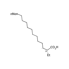 CCCCCCCCCCCCCCCCCC[CH][C@@H](CC)C(=O)O